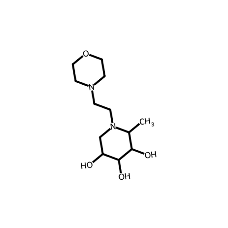 CC1C(O)C(O)C(O)CN1CCN1CCOCC1